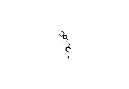 C=C/N=c1/ccc(C(=O)NCC2CC3(CCNCC3)C2)cn1C